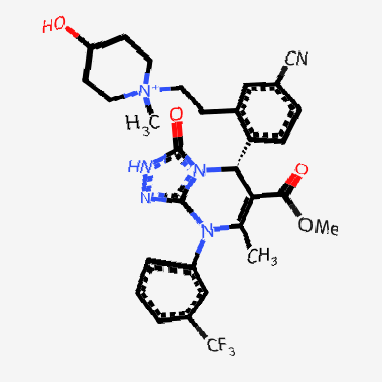 COC(=O)C1=C(C)N(c2cccc(C(F)(F)F)c2)c2n[nH]c(=O)n2[C@@H]1c1ccc(C#N)cc1CC[N+]1(C)CCC(O)CC1